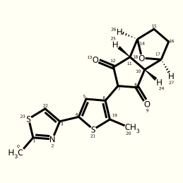 Cc1nc(-c2cc(C3C(=O)[C@@H]4[C@H](C3=O)[C@H]3CC[C@@H]4O3)c(C)s2)cs1